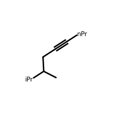 [CH2]C(C)C(C)CC#CCCC